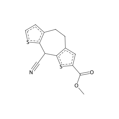 COC(=O)c1cc2c(s1)C(C#N)c1sccc1CC2